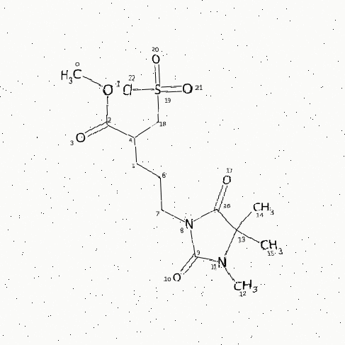 COC(=O)C(CCCN1C(=O)N(C)C(C)(C)C1=O)CS(=O)(=O)Cl